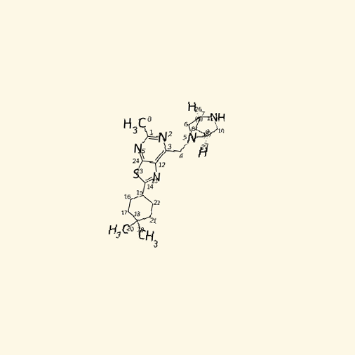 Cc1nc(CN2C[C@@H]3C[C@H]2CN3)c2nc(C3CCC(C)(C)CC3)sc2n1